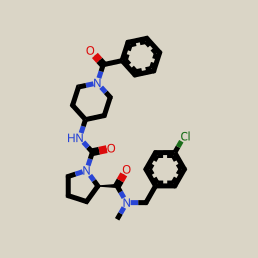 CN(Cc1ccc(Cl)cc1)C(=O)[C@H]1CCCN1C(=O)NC1CCN(C(=O)c2ccccc2)CC1